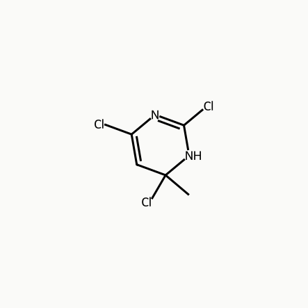 CC1(Cl)C=C(Cl)N=C(Cl)N1